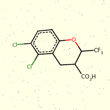 O=C(O)C1Cc2c(ccc(Cl)c2Cl)OC1C(F)(F)F